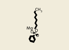 CCCCCCCCOS(=O)(=O)c1ccccc1.[Mg]